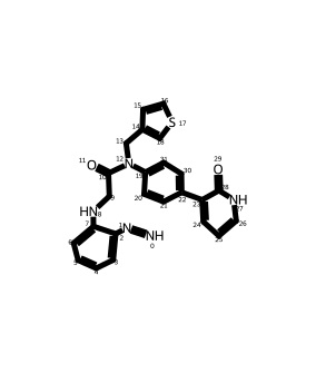 N=Nc1ccccc1NCC(=O)N(Cc1ccsc1)c1ccc(-c2ccc[nH]c2=O)cc1